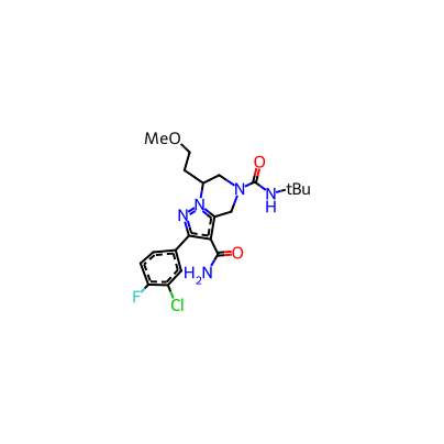 COCCC1CN(C(=O)NC(C)(C)C)Cc2c(C(N)=O)c(-c3ccc(F)c(Cl)c3)nn21